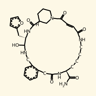 NC(=O)[C@@H]1CCCCNC(=O)/C=C/C(=O)N2CCC[C@H](C2)C(=O)N[C@@H](Cc2ccco2)C(O)NCc2ccccc2CC(=O)N1